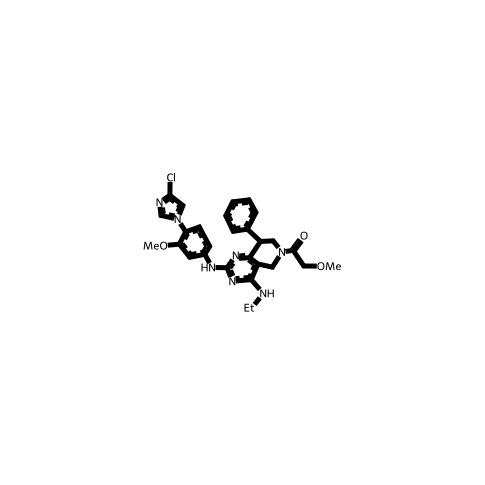 CCNc1nc(Nc2ccc(-n3cnc(Cl)c3)c(OC)c2)nc2c1CN(C(=O)COC)CC2c1ccccc1